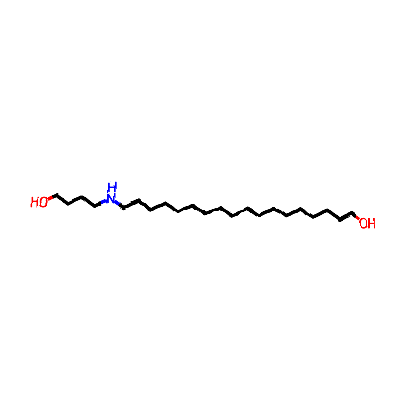 OCCCCCCCCCCCCCCCCCCNCCCCO